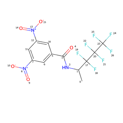 CC(NC(=O)c1cc([N+](=O)[O-])cc([N+](=O)[O-])c1)C(F)(F)C(F)(F)C(F)(F)F